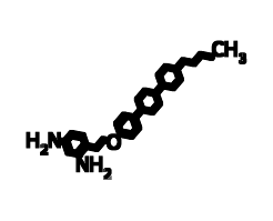 CCCCCC1CCC(C2CCC(c3ccc(OCCc4ccc(N)cc4N)cc3)CC2)CC1